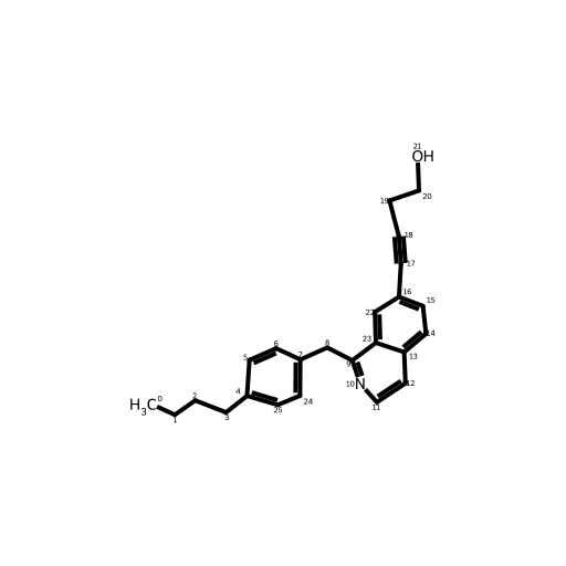 CCCCc1ccc(Cc2nccc3ccc(C#CCCO)cc23)cc1